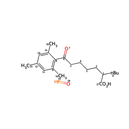 CCCCC(CCCCC(=O)c1c(C)cc(C)cc1C)C(=O)O.O=P